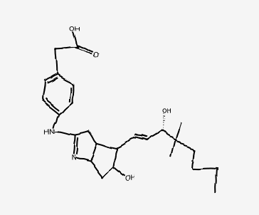 CCCCC(C)(C)[C@@H](O)C=CC1C(O)CC2N=C(Nc3ccc(CC(=O)O)cc3)CC21